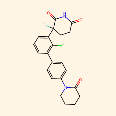 O=C1CCC(F)(c2cccc(-c3ccc(N4CCCCC4=O)cc3)c2Cl)C(=O)N1